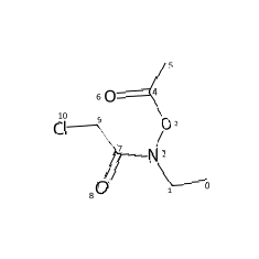 CCN(OC(C)=O)C(=O)CCl